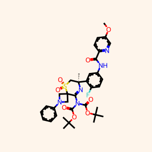 COc1ccc(C(=O)Nc2ccc(F)c([C@]3(C)CS(=O)(=O)C4(CN(c5ccccc5)C4)C(N(C(=O)OC(C)(C)C)C(=O)OC(C)(C)C)=N3)c2)nc1